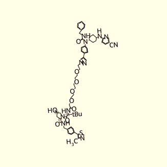 Cc1ncsc1-c1ccc(CNC(=O)[C@@H]2C[C@@H](O)CN2C(=O)[C@@H](NC(=O)COCCOCCOCCOCCn2cc(-c3ccc(N(C(=O)NCc4ccccc4)[C@H]4CC[C@H](Nc5ccc(C#N)cn5)CC4)cc3)cn2)C(C)(C)C)cc1